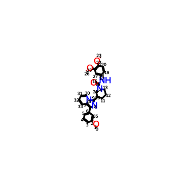 COc1cccc(-c2nc(C3CCCN(C(=O)Nc4ccc(OC)c(OC)c4)C3)n3ccccc23)c1